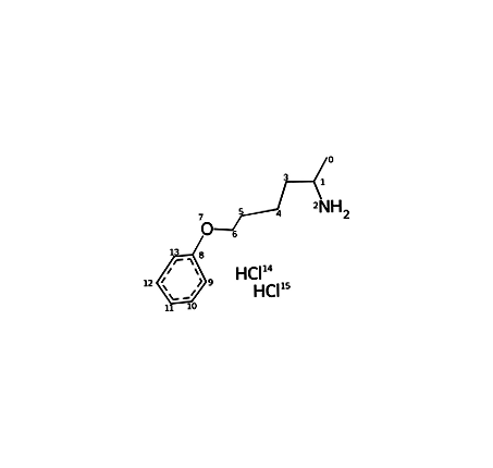 CC(N)CCCCOc1ccccc1.Cl.Cl